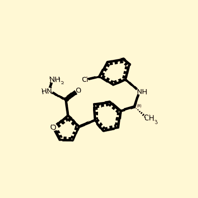 C[C@@H](Nc1cccc(Cl)c1)c1ccc(-c2ccoc2C(=O)NN)cc1